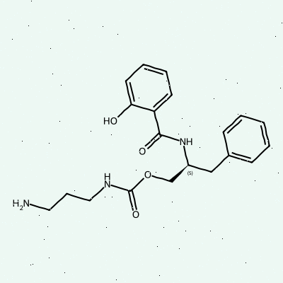 NCCCNC(=O)OC[C@H](Cc1ccccc1)NC(=O)c1ccccc1O